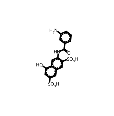 Nc1cccc(C(=O)Nc2cc3c(O)cc(S(=O)(=O)O)cc3cc2S(=O)(=O)O)c1